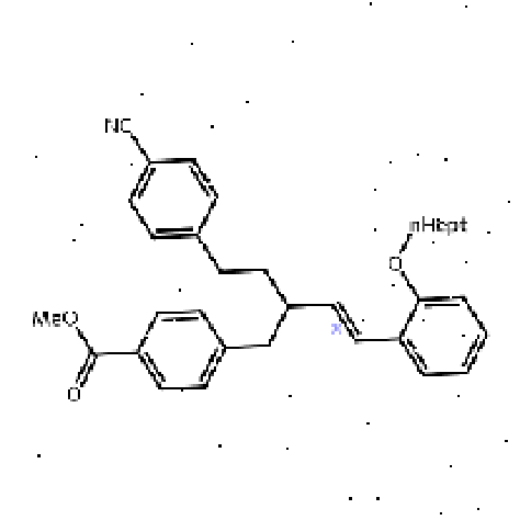 CCCCCCCOc1ccccc1/C=C/C(CCc1ccc(C#N)cc1)Cc1ccc(C(=O)OC)cc1